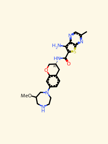 COC1CNCCN(c2ccc3c(c2)OC[C@H](NC(=O)c2sc4nc(C)cnc4c2N)C3)C1